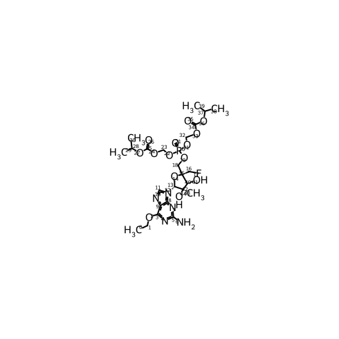 CCOc1nc(N)nc2c1ncn2[C@@H]1O[C@](CF)(COP(=O)(OCOC(=O)OC(C)C)OCOC(=O)OC(C)C)[C@@H](O)[C@@]1(C)O